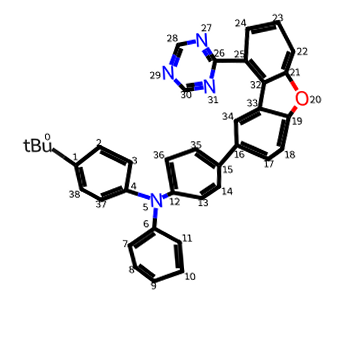 CC(C)(C)c1ccc(N(c2ccccc2)c2ccc(-c3ccc4oc5cccc(-c6ncncn6)c5c4c3)cc2)cc1